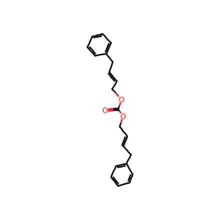 O=C(OCC=CCc1ccccc1)OCC=CCc1ccccc1